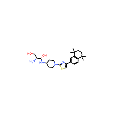 CC1(C)CCC(C)(C)c2cc(-c3csc(N4CCC(N[C@@H](O)[C@@H](N)CO)CC4)n3)ccc21